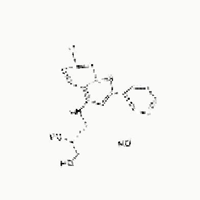 Cl.OCC(O)CNc1cc(-c2ccccc2)nc2cc(Cl)ccc12